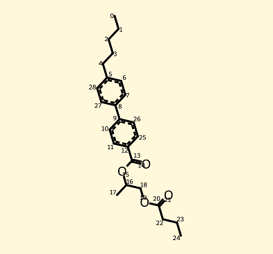 CCCCCc1ccc(-c2ccc(C(=O)OC(C)COC(=O)CCC)cc2)cc1